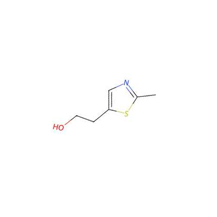 Cc1ncc(CCO)s1